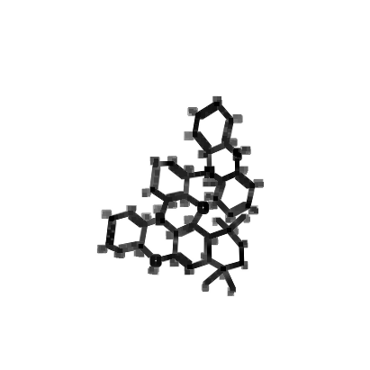 CC1(C)CCC(C)(C)c2c1cc1c3c2Oc2c(cccc2N2c4ccccc4Sc4ccccc42)B3c2ccccc2O1